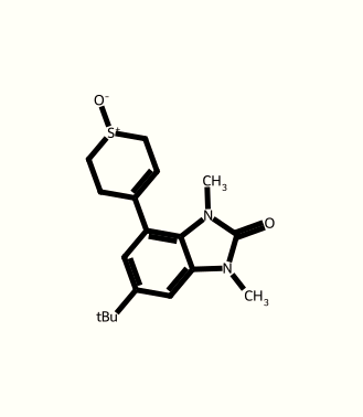 Cn1c(=O)n(C)c2c(C3=CC[S+]([O-])CC3)cc(C(C)(C)C)cc21